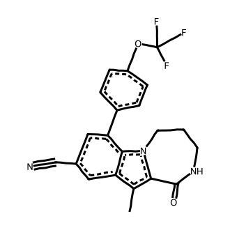 Cc1c2n(c3c(-c4ccc(OC(F)(F)F)cc4)cc(C#N)cc13)CCCNC2=O